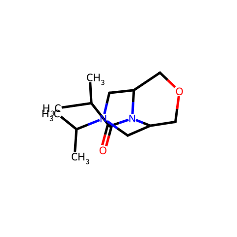 CC(C)C(=O)N1C2COCC1CN(C(C)C)C2